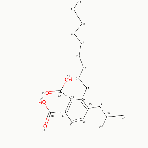 CCCCCCCCCc1c(CC(C)C)ccc(C(=O)O)c1C(=O)O